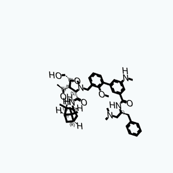 CNc1cc(C(=O)N[C@@H](Cc2ccccc2)CN(C)C)cc(-c2cccc(CN3O[C@@H](CO)[C@@H]([C@H](C)O)[C@H]3C(=O)N[C@H]3C[C@H]4C[C@@H]([C@@H]3C)C4(C)C)c2OC)c1